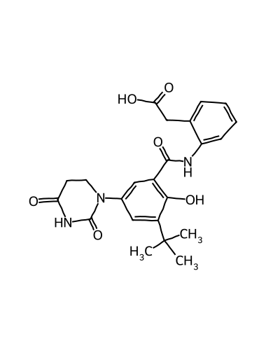 CC(C)(C)c1cc(N2CCC(=O)NC2=O)cc(C(=O)Nc2ccccc2CC(=O)O)c1O